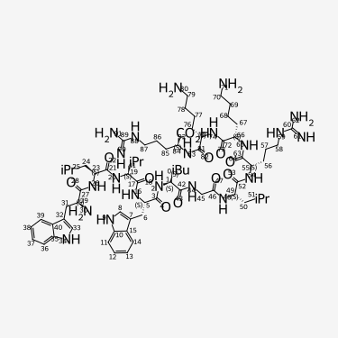 CC[C@H](C)[C@H](NC(=O)[C@H](Cc1c[nH]c2ccccc12)NC(=O)[C@@H](NC(=O)[C@H](CC(C)C)NC(=O)[C@@H](N)Cc1c[nH]c2ccccc12)C(C)C)C(=O)NCC(=O)N[C@@H](CC(C)C)C(=O)N[C@@H](CCCNC(=N)N)C(=O)N[C@@H](CCCCN)C(=O)N[C@@H](CCCCN)C(=O)N[C@@H](CCCNC(=N)N)C(=O)O